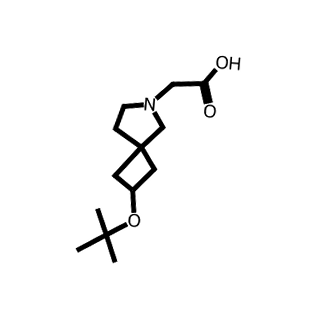 CC(C)(C)OC1CC2(CCN(CC(=O)O)C2)C1